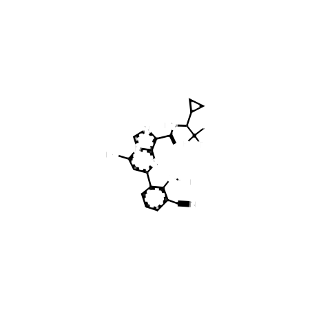 COc1c(C#N)cccc1-c1cc(C)n2cnc(C(=O)NC(C3CC3)C(F)(F)F)c2n1